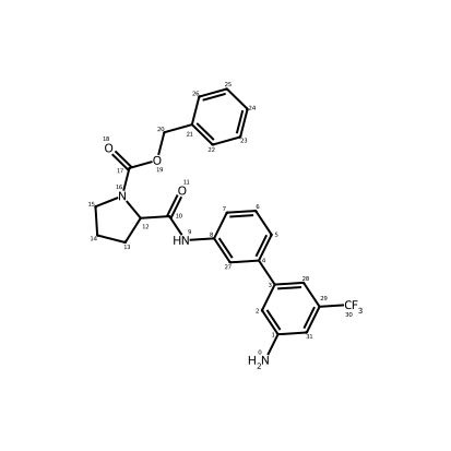 Nc1cc(-c2cccc(NC(=O)C3CCCN3C(=O)OCc3ccccc3)c2)cc(C(F)(F)F)c1